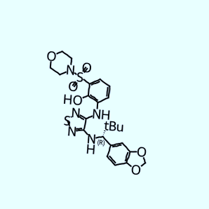 CC(C)(C)[C@@H](Nc1nsnc1Nc1cccc(S(=O)(=O)N2CCOCC2)c1O)c1ccc2c(c1)OCO2